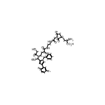 CC(C)(C)C(c1cc(-c2cc(F)ccc2F)cn1Cc1ccccc1)N(CCC(N)C(=O)NCCNC(=O)CN1C(=O)CC(SCC(N)C(=O)O)C1=O)C(=O)CO